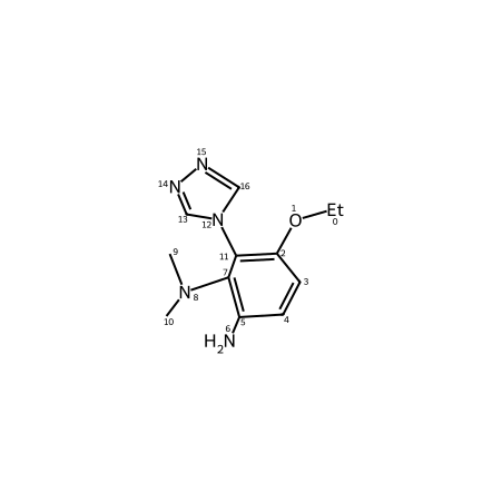 CCOc1ccc(N)c(N(C)C)c1-n1cnnc1